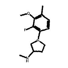 CNC1CCN(c2ccc(C)c(OC)c2F)C1